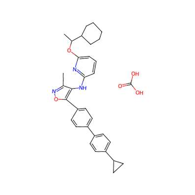 Cc1noc(-c2ccc(-c3ccc(C4CC4)cc3)cc2)c1Nc1cccc(OC(C)C2CCCCC2)n1.O=C(O)O